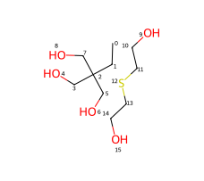 CCC(CO)(CO)CO.OCCSCCO